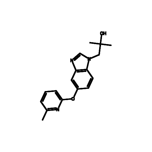 Cc1cccc(Oc2ccc3c(c2)ncn3CC(C)(C)O)n1